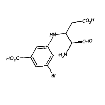 N[C@H](C=O)C(CC(=O)O)Nc1cc(Br)cc(C(=O)O)c1